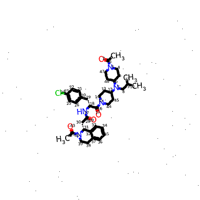 CC(=O)N1CCC(N(CC(C)C)C2CCN(C(=O)[C@@H](Cc3ccc(Cl)cc3)NC(=O)C[C@@H]3c4ccccc4CCN3C(C)=O)CC2)CC1